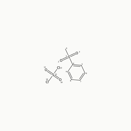 CS(=O)(=O)c1ccccc1.O=S(=O)(Cl)Cl